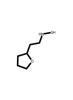 SNCCC1CCCO1